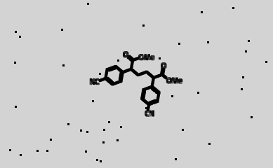 COC(=O)C(CCC(C(=O)OC)c1ccc(C#N)cc1)c1ccc(C#N)cc1